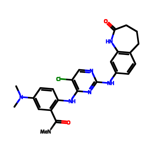 CNC(=O)c1cc(N(C)C)ccc1Nc1nc(Nc2ccc3c(c2)NC(=O)CCC3)ncc1Cl